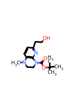 CN1CCN(C(=O)OC(C)(C)C)c2nc(CCO)ccc21